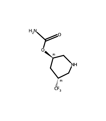 NC(=O)O[C@H]1CNC[C@H](C(F)(F)F)C1